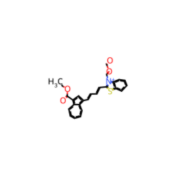 CCOC(=O)c1cc(/C=C/C=C/c2sc3ccccc3[n+]2COC=O)c2cccccc1-2